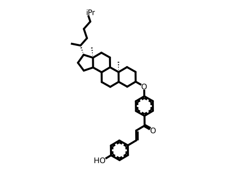 CC(C)CCCC(C)[C@H]1CCC2C3CCC4CC(Oc5ccc(C(=O)C=Cc6ccc(O)cc6)cc5)CC[C@]4(C)C3CC[C@@]21C